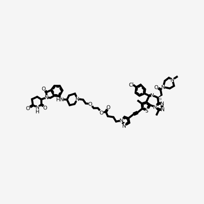 Cc1c(C#Cc2cnn(CCCC(=O)OCCOCCN3CCC(Nc4cccc5c4CN(C4CCC(=O)NC4=O)C5=O)CC3)c2)sc2c1C(c1ccc(Cl)cc1)=N[C@@H](CC(=O)N1CCN(C)CC1)c1nnc(C)n1-2